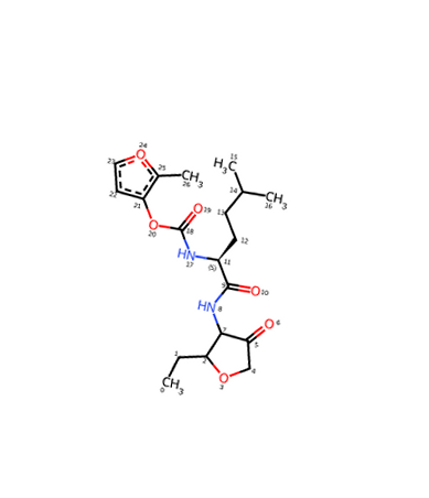 CCC1OCC(=O)C1NC(=O)[C@H](CCC(C)C)NC(=O)Oc1ccoc1C